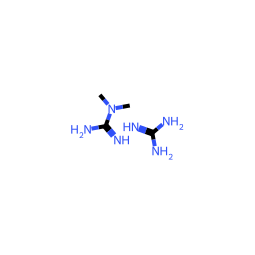 CN(C)C(=N)N.N=C(N)N